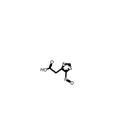 O=Nc1scnc1CC(=O)O